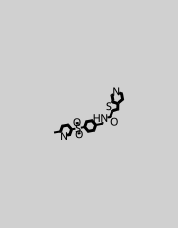 Cc1ccc(S(=O)(=O)c2ccc(CNC(=O)c3cc4ccncc4s3)cc2)cn1